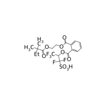 CCC(C)(C)C(=O)OCCOC(=O)c1ccccc1C(=O)OC(C(F)(F)F)C(F)(F)S(=O)(=O)O